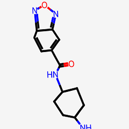 NC1CCC(NC(=O)c2ccc3nonc3c2)CC1